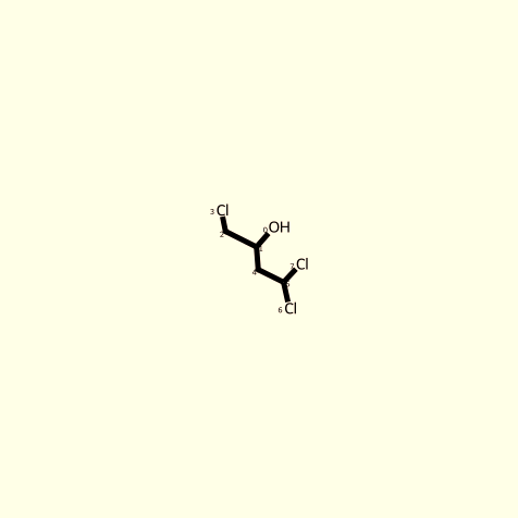 OC(CCl)CC(Cl)Cl